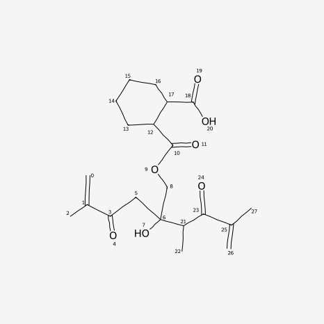 C=C(C)C(=O)CC(O)(COC(=O)C1CCCCC1C(=O)O)C(C)C(=O)C(=C)C